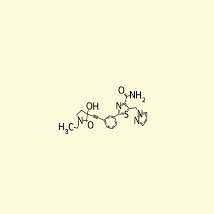 CCN1CCC(O)(C#Cc2cccc(-c3nc(C(N)=O)c(Cn4cccn4)s3)c2)C1=O